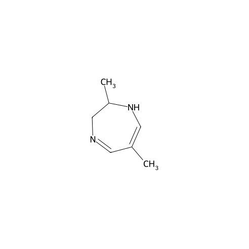 CC1=CNC(C)CN=C1